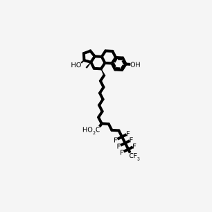 C[C@]12C[C@H](CCCCCCCCC(CCCC(F)(F)C(F)(F)C(F)(F)C(F)(F)F)C(=O)O)C3c4ccc(O)cc4CCC3C1CC[C@@H]2O